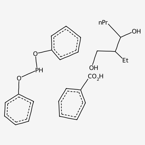 CCCC(O)C(CC)CO.O=C(O)c1ccccc1.c1ccc(OPOc2ccccc2)cc1